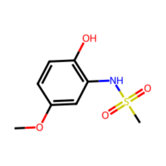 COc1ccc(O)c(NS(C)(=O)=O)c1